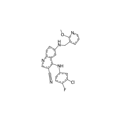 COc1ncccc1CNc1ccc2ncc(C#N)c(Nc3ccc(F)c(Cl)c3)c2c1